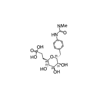 CNC(=O)Nc1ccc(C[C@H]2O[C@H](CCP(=O)(O)O)[C@@H](O)[C@H](O)[C@@H]2O)cc1